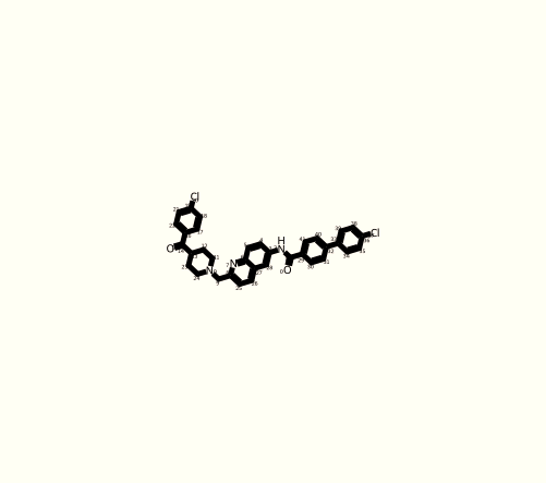 O=C(Nc1ccc2nc(CN3CCC(C(=O)c4ccc(Cl)cc4)CC3)ccc2c1)c1ccc(-c2ccc(Cl)cc2)cc1